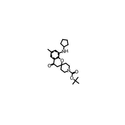 Cc1cc(NC2CCCC2)c2c(c1)C(=O)CC1(CCN(C(=O)OC(C)(C)C)CC1)O2